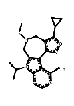 CSN1Cc2c(noc2C2CC2)-c2c(n(C(C)C)c3ncnc(N)c23)C1